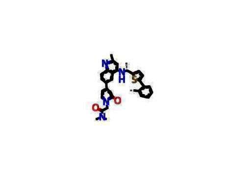 [CH2]c1ccccc1-c1ccc([C@@H](C)Nc2cc(C)nc3ccc(-c4ccn(CC(=O)N(C)C)c(=O)c4)cc23)s1